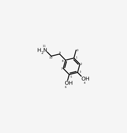 Cc1cc(O)c(O)cc1CCN